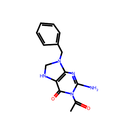 CC(=O)n1c(N)nc2c(c1=O)NCN2Cc1ccccc1